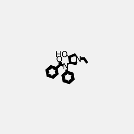 CCN1C[C@@H](O)[C@H](N(C(=O)c2ccccc2)c2ccccc2)C1